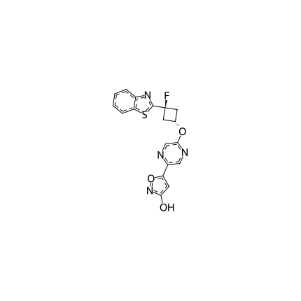 Oc1cc(-c2cnc(O[C@H]3C[C@@](F)(c4nc5ccccc5s4)C3)cn2)on1